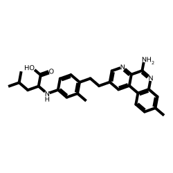 Cc1ccc2c(c1)nc(N)c1ncc(CCc3ccc(NC(CC(C)C)C(=O)O)cc3C)cc12